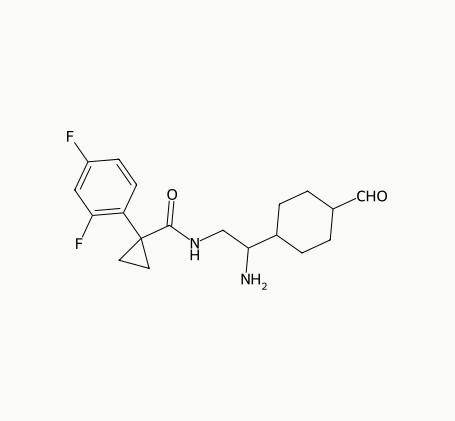 NC(CNC(=O)C1(c2ccc(F)cc2F)CC1)C1CCC(C=O)CC1